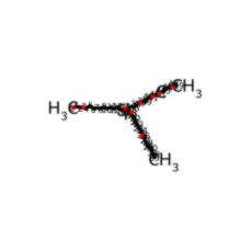 CCCCCCCCCCCCCCCC[Si](I)(CCCCCCCCCCCCCCCC)CCCCCCCCCCCCCCCC